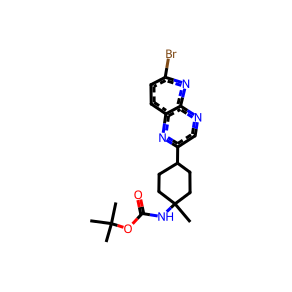 CC1(NC(=O)OC(C)(C)C)CCC(c2cnc3nc(Br)ccc3n2)CC1